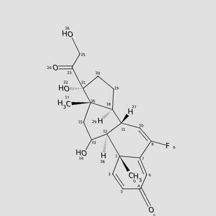 C[C@]12C=CC(=O)C=C1C(F)=C[C@@H]1[C@@H]2C(O)C[C@@]2(C)[C@H]1CC[C@]2(O)C(=O)CO